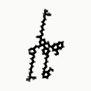 CCC(COC1CN(C(=O)OCCCCCCON(O)O)CC(OCc2cc(OC)c3ccccc3c2)C1c1ccc(OCCCOCc2ccccc2OC)cc1)OC(=O)OCCCCCCON(O)O